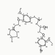 COc1cc(CN(C)CC(O)COc2ccc(Br)cc2OC)ccc1OCCN1CCC(C)CC1